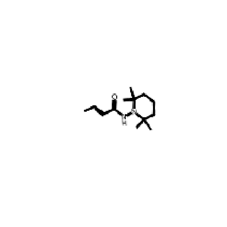 CC=CC(=O)NN1C(C)(C)CCCC1(C)C